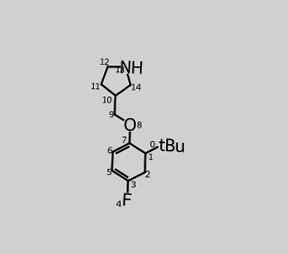 CC(C)(C)C1CC(F)=CC=C1OCC1CCNC1